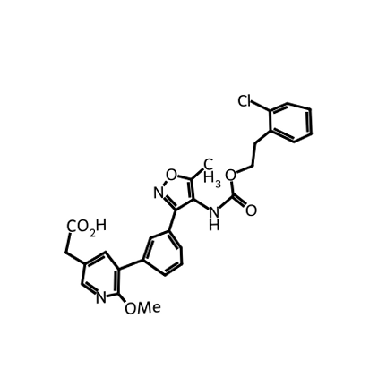 COc1ncc(CC(=O)O)cc1-c1cccc(-c2noc(C)c2NC(=O)OCCc2ccccc2Cl)c1